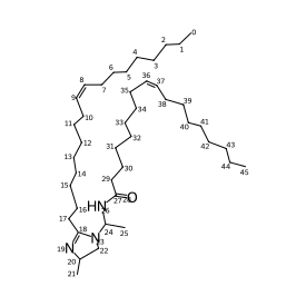 CCCCCCCC/C=C\CCCCCCCCC1=NC(C)CN1C(C)NC(=O)CCCCCCC/C=C\CCCCCCCC